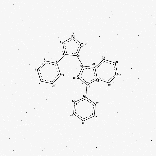 c1ccc(-c2cnoc2-c2sc(-c3ccccc3)c3ccccc23)cc1